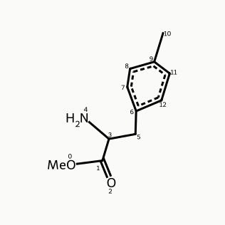 COC(=O)C(N)Cc1ccc(C)cc1